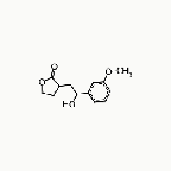 COc1cccc(C(O)CC2CCOC2=O)c1